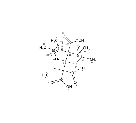 CC[C](C(C)=O)(C(=O)O)[Ti]([O]C(C)C)([O]C(C)C)[C](CC)(C(C)=O)C(=O)O